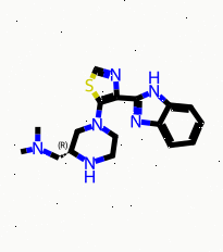 CN(C)C[C@@H]1CN(c2scnc2-c2nc3ccccc3[nH]2)CCN1